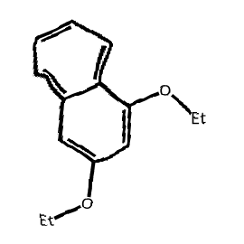 CCOc1cc(OCC)c2ccccc2c1